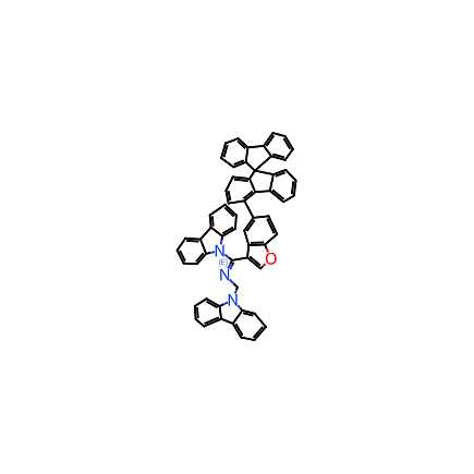 c1ccc2c(c1)-c1ccccc1C21c2ccccc2-c2c(-c3ccc4occ(/C(=N\Cn5c6ccccc6c6ccccc65)n5c6ccccc6c6ccccc65)c4c3)cccc21